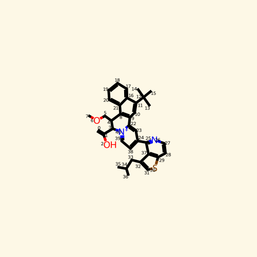 C=C(O)C1C(COC)c2c(cc(C(C)(C)C)c3ccccc23)-c2cc(-c3nccc4scc(CC(C)C)c34)cc[n+]21